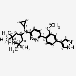 COc1cc(-c2cn[nH]c2)ccc1-c1ccc(N(C2CC2)C2CC(C)(C)NC(C)(C)C2)nn1